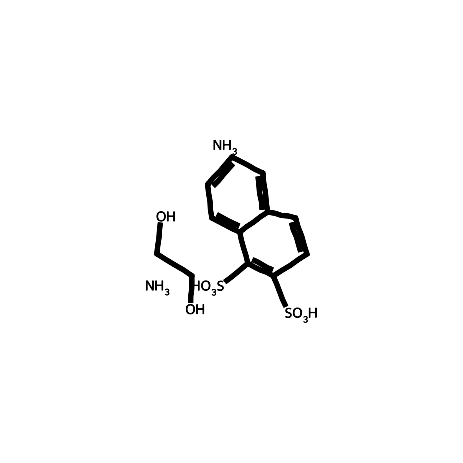 N.N.O=S(=O)(O)c1ccc2ccccc2c1S(=O)(=O)O.OCCO